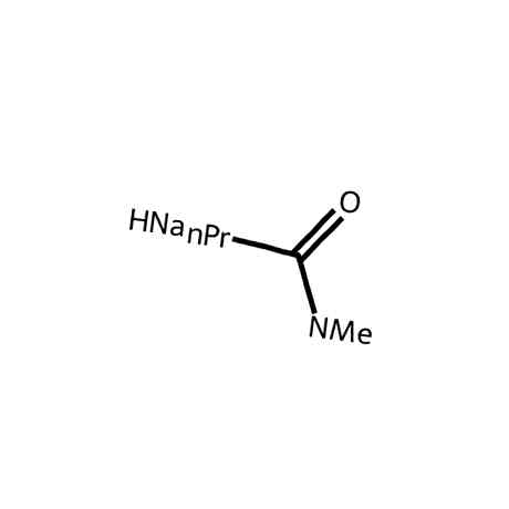 CCCC(=O)NC.[NaH]